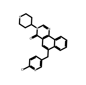 O=c1c2cc(Cc3ccc(Cl)nc3)c3ccccc3c2ncn1C1CCSCC1